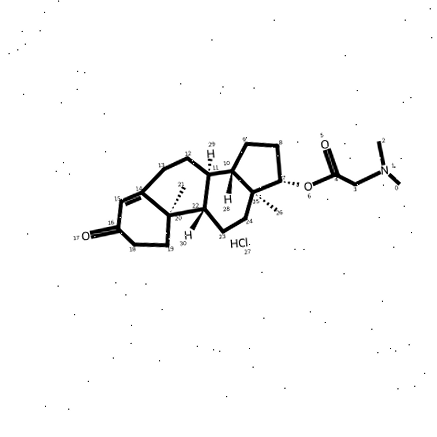 CN(C)CC(=O)O[C@H]1CC[C@H]2[C@@H]3CCC4=CC(=O)CC[C@]4(C)[C@H]3CC[C@]12C.Cl